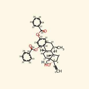 C#C[C@]1(O)CC[C@H]2[C@@H]3[C@H](C)Cc4cc(OC(=O)c5ccccc5)cc(OC(=O)c5ccccc5)c4[C@H]3CC[C@@]21C